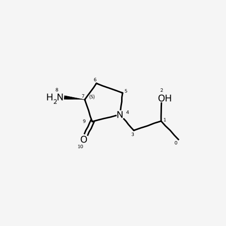 CC(O)CN1CC[C@H](N)C1=O